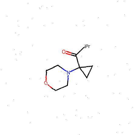 CC(C)C(=O)C1(N2CCOCC2)CC1